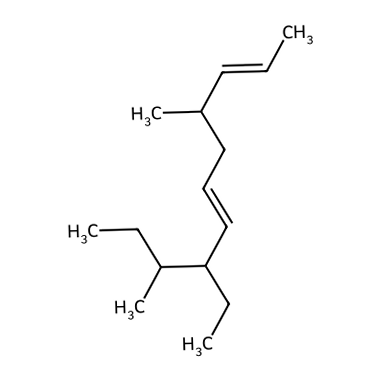 CC=CC(C)CC=CC(CC)C(C)CC